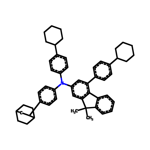 CC1(C)c2ccccc2-c2c(-c3ccc(C4CCCCC4)cc3)cc(N(c3ccc(C4CCCCC4)cc3)c3ccc(C4CC5CCC4CC5)cc3)cc21